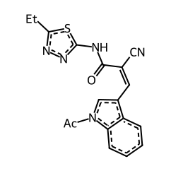 CCc1nnc(NC(=O)C(C#N)=Cc2cn(C(C)=O)c3ccccc23)s1